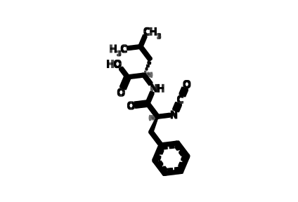 CC(C)C[C@H](NC(=O)[C@H](Cc1ccccc1)N=C=O)C(=O)O